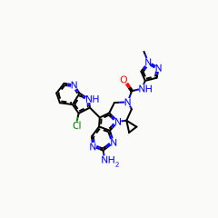 Cn1cc(NC(=O)N2Cc3c(-c4[nH]c5ncccc5c4Cl)c4cnc(N)nc4n3C3(CC3)C2)cn1